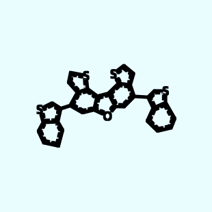 c1ccc2c(-c3cc4oc5cc(-c6csc7ccccc67)c6ccsc6c5c4c4sccc34)csc2c1